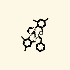 Cc1cc(C)c(-n2ccn(-c3c(C)cc(C)cc3C)[c]2=[Ru]([Cl])([Cl])=[CH]c2ccccc2)c(C)c1